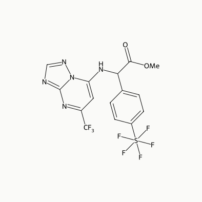 COC(=O)C(Nc1cc(C(F)(F)F)nc2ncnn12)c1ccc(S(F)(F)(F)(F)F)cc1